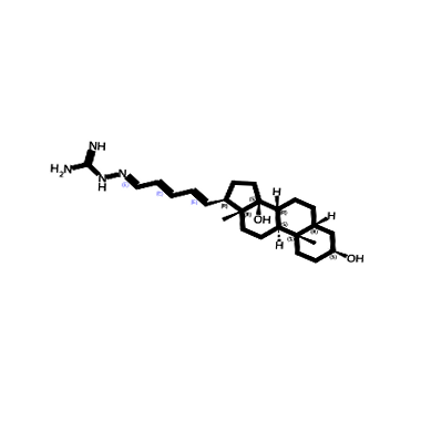 C[C@]12CC[C@H](O)C[C@H]1CC[C@@H]1[C@@H]2CC[C@]2(C)[C@@H](/C=C/C=C/C=N/NC(=N)N)CC[C@]12O